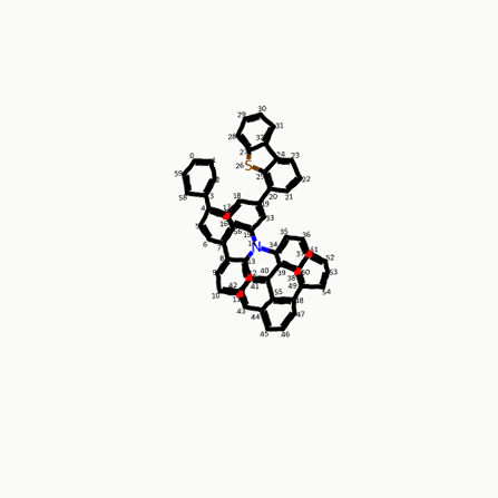 c1ccc(-c2ccc(-c3ccccc3N(c3cccc(-c4cccc5c4sc4ccccc45)c3)c3ccccc3-c3cccc4cccc(-c5ccccc5)c34)cc2)cc1